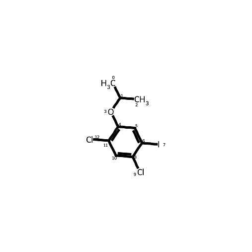 CC(C)Oc1cc(I)c(Cl)cc1Cl